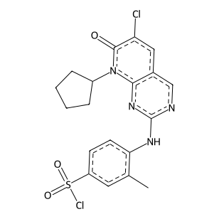 Cc1cc(S(=O)(=O)Cl)ccc1Nc1ncc2cc(Cl)c(=O)n(C3CCCC3)c2n1